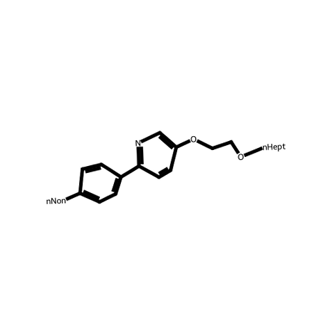 CCCCCCCCCc1ccc(-c2ccc(OCCOCCCCCCC)cn2)cc1